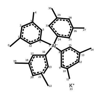 Cc1cc(C)c[c]([Al-]([c]2cc(C)cc(C)c2)([c]2cc(C)cc(C)c2)[c]2cc(C)cc(C)c2)c1.[K+]